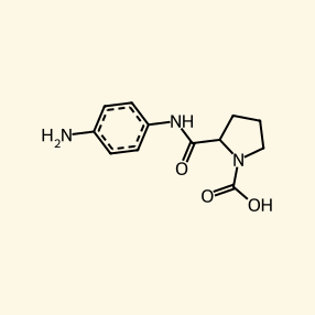 Nc1ccc(NC(=O)C2CCCN2C(=O)O)cc1